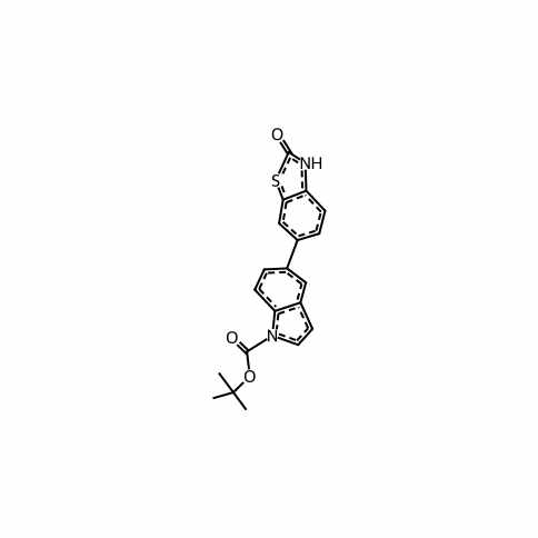 CC(C)(C)OC(=O)n1ccc2cc(-c3ccc4[nH]c(=O)sc4c3)ccc21